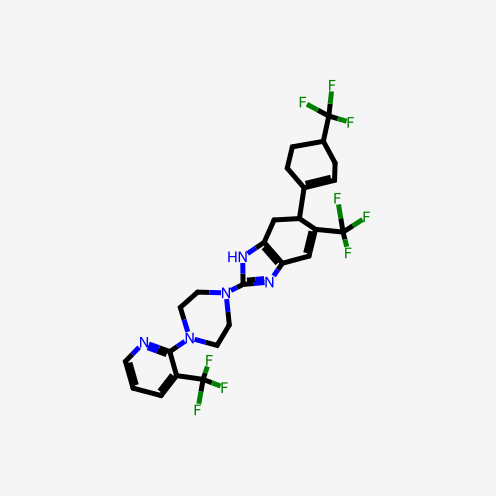 FC(F)(F)C1=Cc2nc(N3CCN(c4ncccc4C(F)(F)F)CC3)[nH]c2CC1C1=CCC(C(F)(F)F)CC1